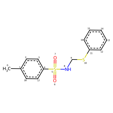 Cc1ccc(S(=O)(=O)NCSc2ccccc2)cc1